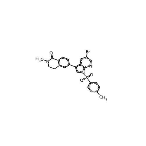 Cc1ccc(S(=O)(=O)n2cc(-c3ccc4c(c3)CCN(C)C4=O)c3cc(Br)cnc32)cc1